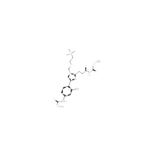 COC(=O)Nc1ccc(-c2cn(COCC[Si](C)(C)C)c(CCC(=O)NC(=O)OC(C)(C)C)n2)c(Br)c1